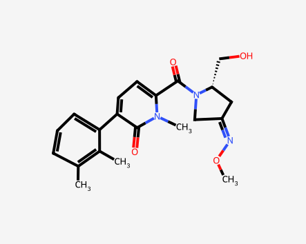 CO/N=C1/C[C@@H](CO)N(C(=O)c2ccc(-c3cccc(C)c3C)c(=O)n2C)C1